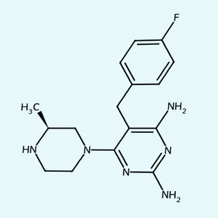 C[C@H]1CN(c2nc(N)nc(N)c2Cc2ccc(F)cc2)CCN1